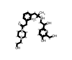 CC(C)(Cc1cccc(CC(=O)N2CCN(CCO)CC2)c1)NCC(O)c1ccc(O)c(CO)n1